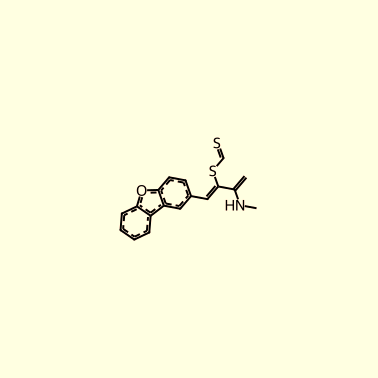 C=C(NC)/C(=C/c1ccc2oc3ccccc3c2c1)SC=S